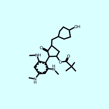 CNc1cc(NC)c(C2C(=O)C(CC3CCC(O)CC3)CC2OC(=O)C(C)(C)C)c(NC)c1